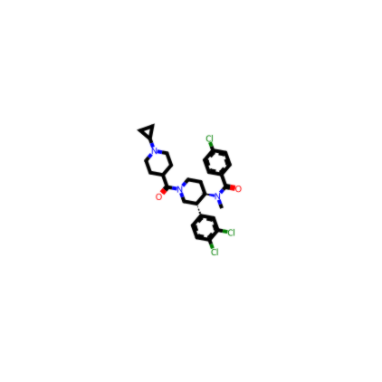 CN(C(=O)c1ccc(Cl)cc1)[C@@H]1CCN(C(=O)C2CCN(C3CC3)CC2)C[C@H]1c1ccc(Cl)c(Cl)c1